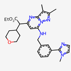 CCOC(=O)C(c1cc(NCc2cccc(-c3nccn3C)c2)n2nc(C)c(C)c2n1)C1CCOCC1